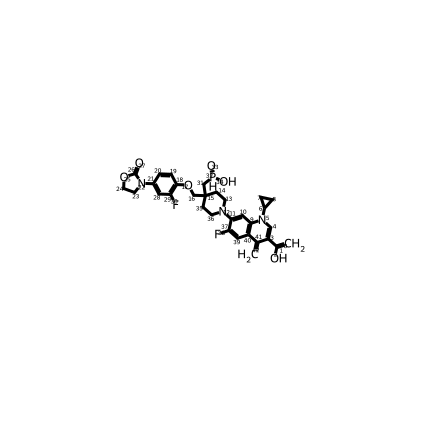 C=C(O)C1=CN(C2CC2)c2cc(N3CCC(COc4ccc(N5CCOC5=O)cc4F)(C[PH](=O)O)CC3)c(F)cc2C1=C